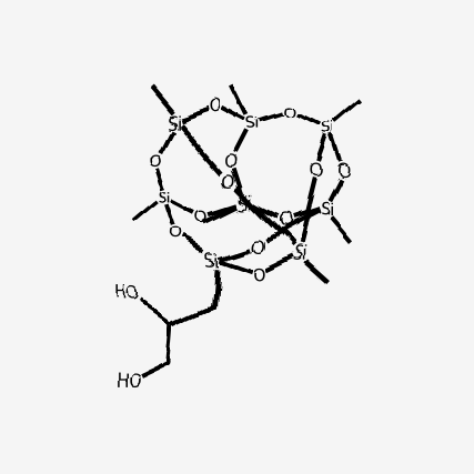 C[Si]12O[Si]3(C)O[Si]4(C)O[Si](C)(O1)O[Si]1(C)O[Si](C)(O2)O[Si](C)(O3)O[Si](CC(O)CO)(O4)O1